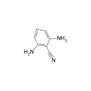 N#Cc1c(N)cccc1N